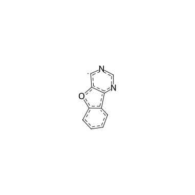 [c]1ncnc2c1oc1ccccc12